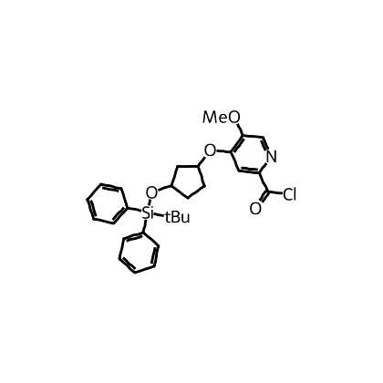 COc1cnc(C(=O)Cl)cc1OC1CCC(O[Si](c2ccccc2)(c2ccccc2)C(C)(C)C)C1